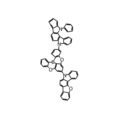 c1ccc(-n2c3ccccc3c3ccc4c(c5ccccc5n4-c4ccc5c(c4)Oc4cc(-n6c7ccccc7c7c8oc9ccccc9c8ccc76)cc6c4B5c4ccccc4O6)c32)cc1